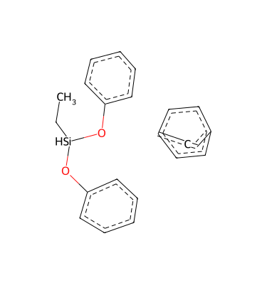 CC[SiH](Oc1ccccc1)Oc1ccccc1.c1cc2ccc1cc2